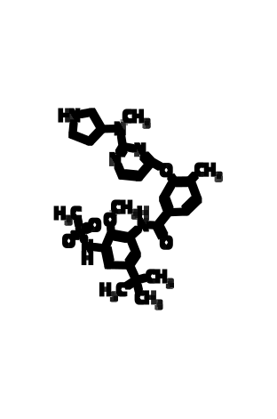 COc1c(NC(=O)c2ccc(C)c(Oc3ccnc(N(C)C4CCNC4)n3)c2)cc(C(C)(C)C)cc1NS(C)(=O)=O